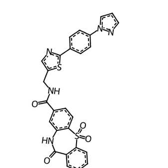 O=C(NCc1cnc(-c2ccc(-n3cccn3)cc2)s1)c1ccc2c(c1)NC(=O)c1ccccc1S2(=O)=O